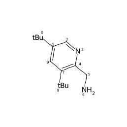 CC(C)(C)c1cnc(CN)c(C(C)(C)C)c1